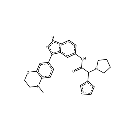 CN1CCOc2cc(-c3n[nH]c4ccc(NC(=O)C(c5ccsc5)N5CCCC5)cc34)ccc21